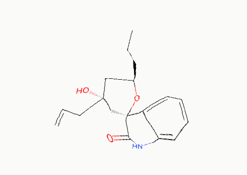 C=CC[C@@]1(O)C[C@@H](CCC)O[C@]2(C1)C(=O)Nc1ccccc12